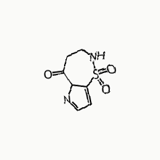 O=C1CCNS(=O)(=O)C2=CC=NC12